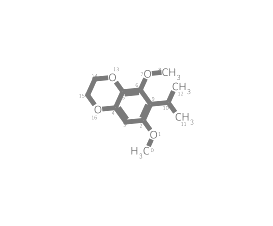 COc1cc2c(c(OC)c1C(C)C)OCCO2